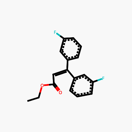 CCOC(=O)C=C(c1cccc(F)c1)c1cccc(F)c1